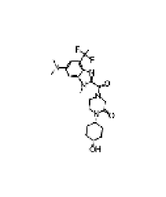 CN(C)c1cc(C(F)(F)F)c2nc(C(=O)N3CCN([C@H]4CC[C@H](O)CC4)C(=O)C3)n(C)c2c1